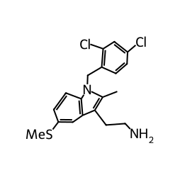 CSc1ccc2c(c1)c(CCN)c(C)n2Cc1ccc(Cl)cc1Cl